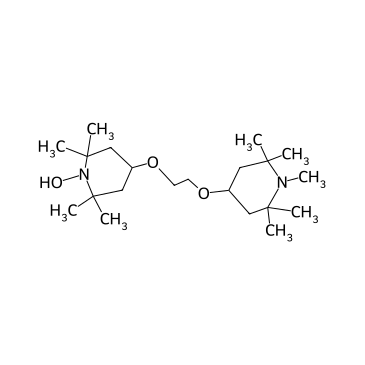 CN1C(C)(C)CC(OCCOC2CC(C)(C)N(O)C(C)(C)C2)CC1(C)C